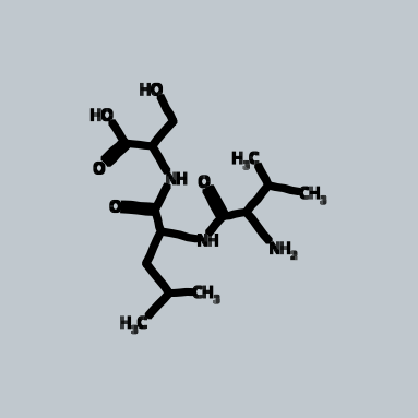 CC(C)CC(NC(=O)C(N)C(C)C)C(=O)NC(CO)C(=O)O